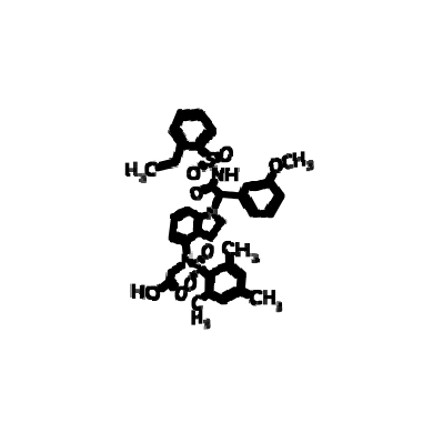 CCc1ccccc1S(=O)(=O)NC(=O)C(c1cccc(OC)c1)N1CCc2c1cccc2N(CC(=O)O)S(=O)(=O)c1c(C)cc(C)cc1C